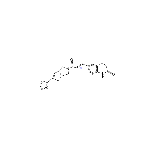 Cc1csc(C2=CC3CN(C(=O)/C=C/c4cnc5c(c4)CCC(=O)N5)CC3C2)c1